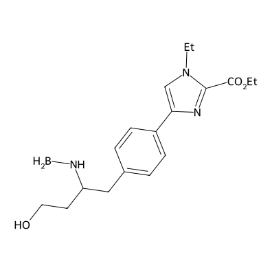 BNC(CCO)Cc1ccc(-c2cn(CC)c(C(=O)OCC)n2)cc1